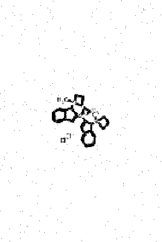 C[Si]1(C2[C]([Zr+2]3([C]4=Cc5ccccc5C4[Si]4(C)CCC4)[CH2][CH2]3)=Cc3ccccc32)CCC1.[Cl-].[Cl-]